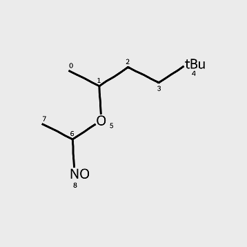 CC(CCC(C)(C)C)OC(C)N=O